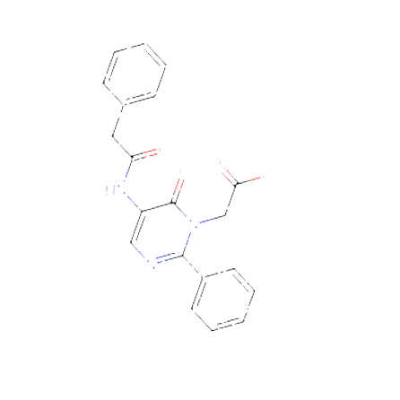 O=C(O)Cn1c(-c2ccccc2)ncc(NC(=O)Cc2ccccc2)c1=O